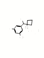 O=C(O)NC1(C(O)c2cc(C(F)(F)F)cc(C(F)(F)F)c2)CCC1